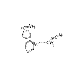 CCC.N=C=S.N=C=S.c1ccccc1.c1ccccc1